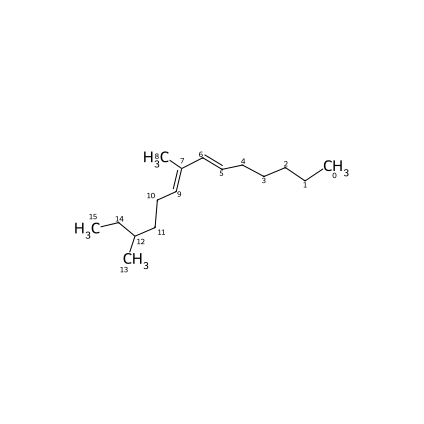 CCCCCC=CC(C)=CCCC(C)CC